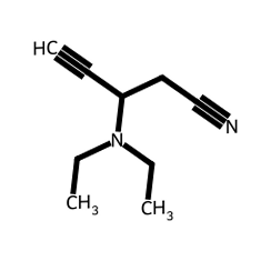 C#CC(CC#N)N(CC)CC